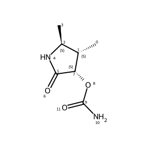 C[C@H]1[C@H](C)NC(=O)[C@H]1OC(N)=O